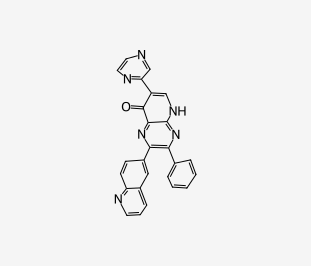 O=c1c(-c2cnccn2)c[nH]c2nc(-c3ccccc3)c(-c3ccc4ncccc4c3)nc12